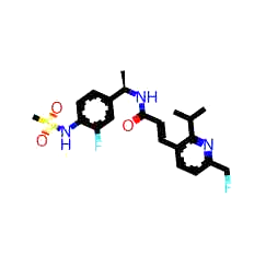 CC(C)c1nc(CF)ccc1/C=C/C(=O)N[C@H](C)c1ccc(NS(C)(=O)=O)c(F)c1